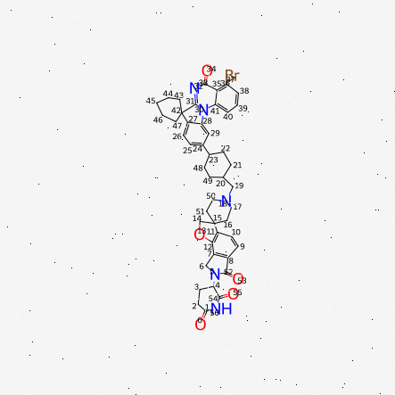 O=C1CC[C@H](N2Cc3c(ccc4c3OCC43CCN(CC4CCC(c5ccc6c(c5)-n5c(nc(=O)c7c(Br)cccc75)C65CCCCC5)CC4)CC3)C2=O)C(=O)N1